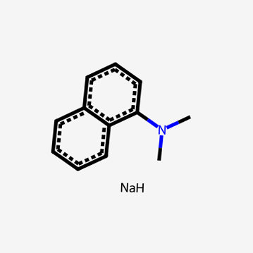 CN(C)c1cccc2ccccc12.[NaH]